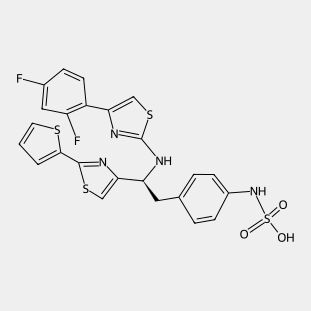 O=S(=O)(O)Nc1ccc(C[C@H](Nc2nc(-c3ccc(F)cc3F)cs2)c2csc(-c3cccs3)n2)cc1